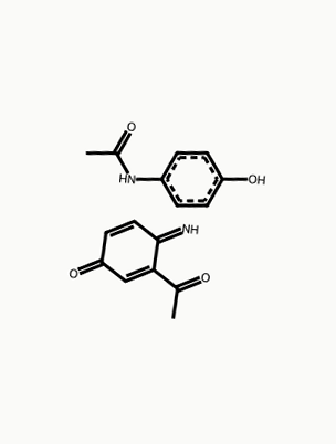 CC(=O)C1=CC(=O)C=CC1=N.CC(=O)Nc1ccc(O)cc1